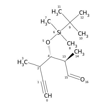 C#CC(C)[C@H](O[Si](C)(C)C(C)(C)C)[C@@H](C)C=O